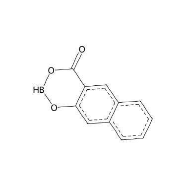 O=C1OBOc2cc3ccccc3cc21